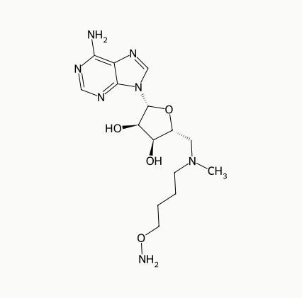 CN(CCCCON)C[C@H]1O[C@@H](n2cnc3c(N)ncnc32)[C@H](O)[C@@H]1O